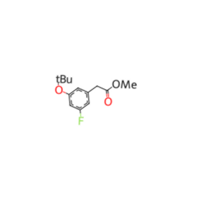 COC(=O)Cc1cc(F)cc(OC(C)(C)C)c1